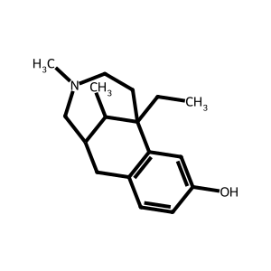 CCC12CCN(C)CC(Cc3ccc(O)cc31)C2C